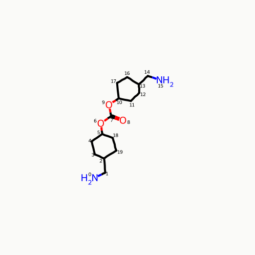 NCC1CCC(OC(=O)OC2CCC(CN)CC2)CC1